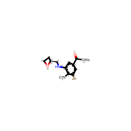 COC(=O)c1cc(Br)c([N+](=O)[O-])c(NC[C@@H]2CCO2)c1